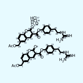 CC(=O)OCc1ccc2oc(=O)c(C(=O)Oc3ccc(CCNC(=N)N)cc3)cc2c1.CC(=O)OCc1ccc2oc(=O)c(C(=O)Oc3ccc(CCNC(=N)N)cc3)cc2c1.Cl.Cl.O